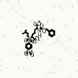 COC(=O)C(CCCC(C(=O)OC)N(CCC(C)C)S(=O)(=O)c1ccc([N+](=O)[O-])cc1)NC(=O)OCc1ccccc1